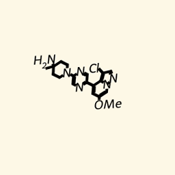 COc1cc(-c2cnc(N3CCC(C)(N)CC3)cn2)c2c(Cl)cnn2c1